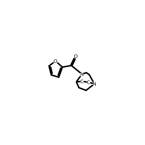 O=C(c1ccco1)N1CCN2CCC1CC2